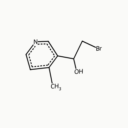 Cc1ccncc1C(O)CBr